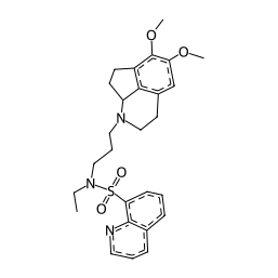 CCN(CCCN1CCc2cc(OC)c(OC)c3c2C1CC3)S(=O)(=O)c1cccc2cccnc12